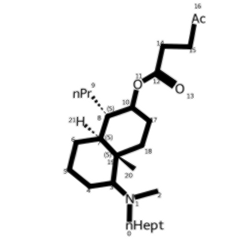 CCCCCCCN(C)C1CCC[C@H]2[C@H](CCC)C(OC(=O)CCC(C)=O)CC[C@]12C